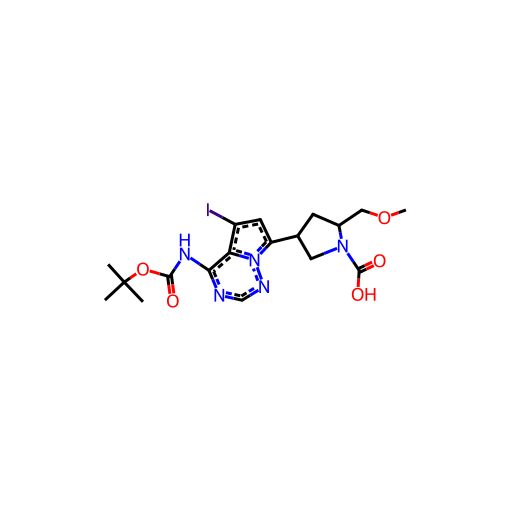 COCC1CC(c2cc(I)c3c(NC(=O)OC(C)(C)C)ncnn23)CN1C(=O)O